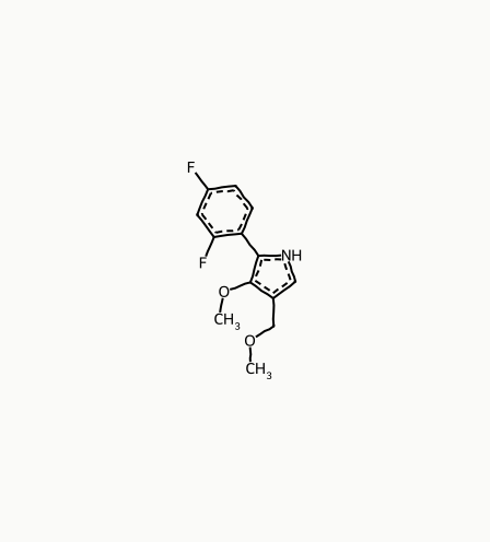 COCc1c[nH]c(-c2ccc(F)cc2F)c1OC